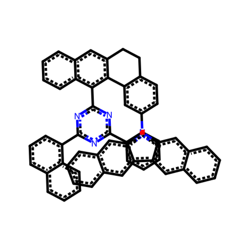 c1ccc(-c2nc(-c3cccc4ccccc34)nc(-c3c4c(cc5ccccc35)CCc3ccc(-n5c6cc7ccccc7cc6c6cc7ccccc7cc65)cc3-4)n2)cc1